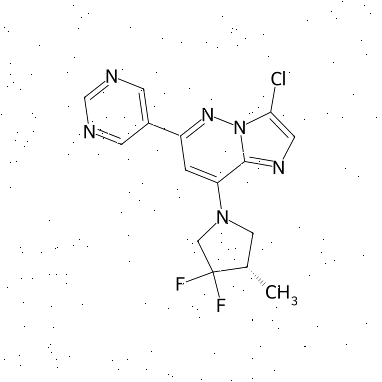 C[C@H]1CN(c2cc(-c3cncnc3)nn3c(Cl)cnc23)CC1(F)F